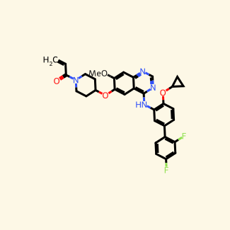 C=CC(=O)N1CCC(Oc2cc3c(Nc4cc(-c5ccc(F)cc5F)ccc4OC4CC4)ncnc3cc2OC)CC1